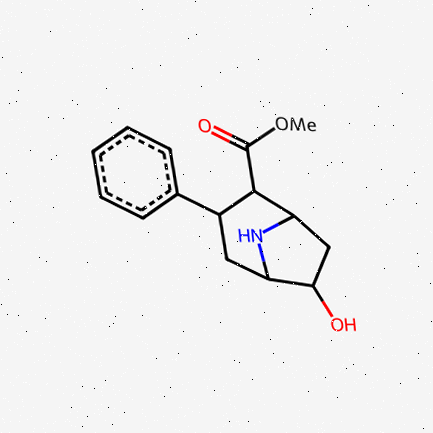 COC(=O)C1C2CC(O)C(CC1c1ccccc1)N2